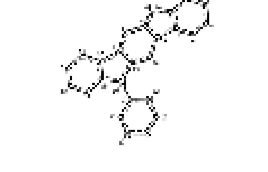 c1ccc2c(c1)oc1cc3c4ccccc4n(-c4cnccn4)c3cc12